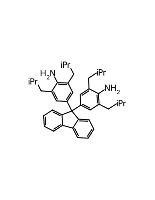 CC(C)Cc1cc(C2(c3cc(CC(C)C)c(N)c(CC(C)C)c3)c3ccccc3-c3ccccc32)cc(CC(C)C)c1N